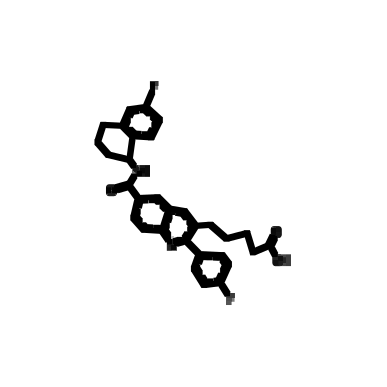 O=C(O)CCCCc1cc2cc(C(=O)NC3CCCc4cc(F)ccc43)ccc2nc1-c1ccc(F)cc1